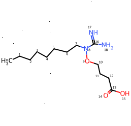 CCCCCCCCN(OCCCC(=O)O)C(=N)N